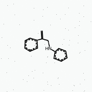 C=C(CNc1ccccc1)c1ccccc1